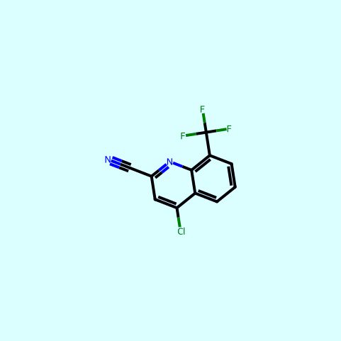 N#Cc1cc(Cl)c2cccc(C(F)(F)F)c2n1